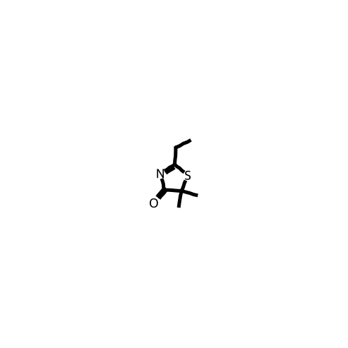 CCC1=NC(=O)C(C)(C)S1